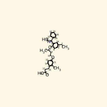 CCc1ccc(OC(C)CCOc2ccc(CCC(=O)O)c(C)c2)c(/C(=N/O)c2ccccc2)c1